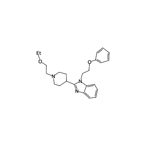 CCOCCN1CCC(c2nc3ccccc3n2CCOc2ccccc2)CC1